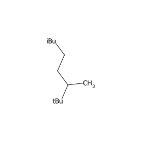 CCC(C)CCC(C)C(C)(C)C